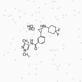 Cc1nn(C)cc1NC(=O)c1cccc(C2CC2NC2CCC(F)(F)CC2)c1.Cl.Cl